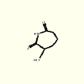 NC1CCCC(=O)NC1=O